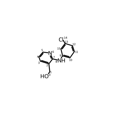 OCc1cccnc1Nc1cccc(Cl)c1